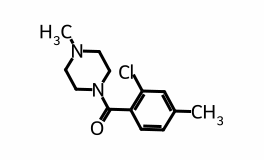 Cc1ccc(C(=O)N2CCN(C)CC2)c(Cl)c1